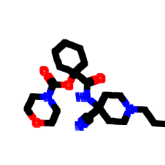 CCCN1CCC(C#N)(NC(=O)C2(OC(=O)N3CCOCC3)CCCCC2)CC1